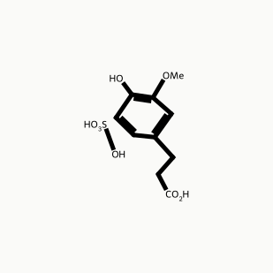 COc1cc(CCC(=O)O)ccc1O.O=S(=O)(O)O